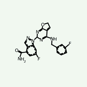 NC(=O)c1cc(F)cc2c1cnn2C1N=C(NCc2cccc(F)c2)C2=CCOC2=N1